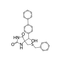 O=C1NC(=O)C(CSCc2ccccc2)(C(O)c2ccc(-c3ccccc3)cc2)N1